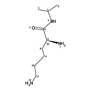 CC(C)BC(=O)[C@@H](N)CCCCN